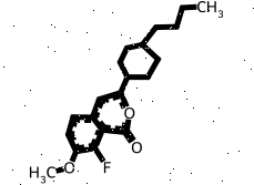 CCCCC1CCC(c2cc3ccc(OC)c(F)c3c(=O)o2)CC1